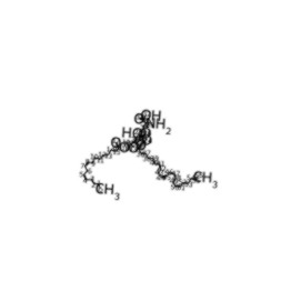 CCCC/C=C\C/C=C\CCCCCCCC(=O)OC[C@H](COP(=O)(O)OC[C@H](N)C(=O)O)OC(=O)CCCCC/C=C\C/C=C\C/C=C\C/C=C\CCCCC